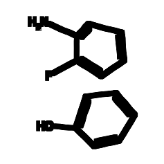 Nc1ccccc1F.Oc1ccccc1